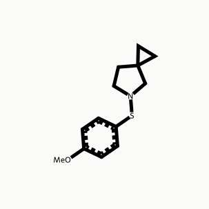 COc1ccc(SN2CCC3(CC3)C2)cc1